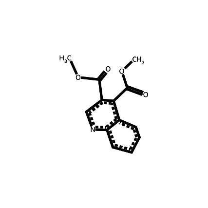 COC(=O)c1cnc2ccccc2c1C(=O)OC